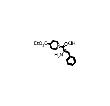 CCOC(=O)C1CCN(C(=O)[C@@H](N)Cc2ccccc2)CC1.Cl